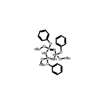 CCCCOP1(Oc2ccccc2)=N[PH](OCCCC)(Oc2ccccc2)N[PH](OCCCC)(Oc2ccccc2)N1